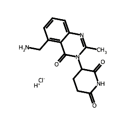 Cc1nc2cccc(CN)c2c(=O)n1C1CCC(=O)NC1=O.[Cl-].[H+]